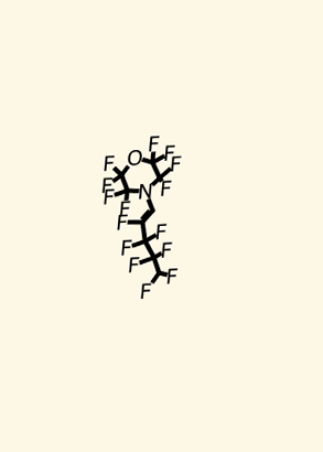 FC(=CN1C(F)(F)C(F)(F)OC(F)(F)C1(F)F)C(F)(F)C(F)(F)C(F)F